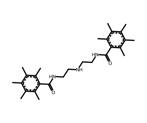 Cc1c(C)c(C)c(C(=O)NCCNCCNC(=O)c2c(C)c(C)c(C)c(C)c2C)c(C)c1C